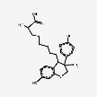 CC(CCCCCCC1c2ccc(O)cc2SCC1(C)c1ccc(O)cc1)C(=O)O